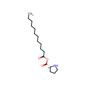 CCCCCCCCCCCC(=O)OC(=O)[C@H]1CCCN1